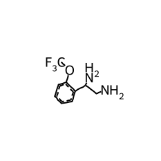 NCC(N)c1ccccc1OC(F)(F)F